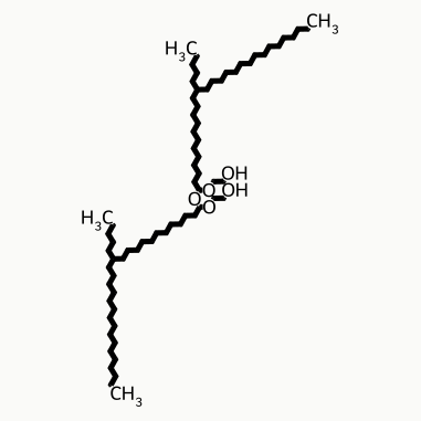 CCCCCCCCCCCCCCCCC(CCCCC)CCCCCCCCCCCC(OCCO)OC(CCCCCCCCCCCC(CCCCC)CCCCCCCCCCCCCCCC)OCCO